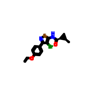 CCOc1ccc(-c2nsc(NC(=O)[C@@H]3C[C@H]3C)c2Br)cc1